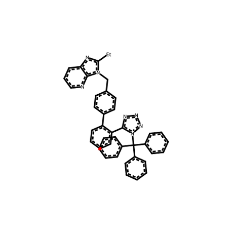 CCc1nc2cccnc2n1Cc1ccc(-c2ccccc2-c2nnnn2C(c2ccccc2)(c2ccccc2)c2ccccc2)cc1